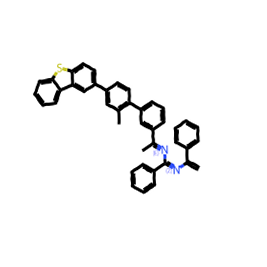 C=C(/N=C(\N=C(/C)c1cccc(-c2ccc(-c3ccc4sc5ccccc5c4c3)cc2C)c1)c1ccccc1)c1ccccc1